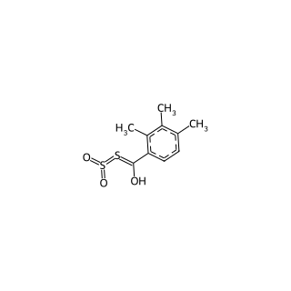 Cc1ccc(C(O)=S=S(=O)=O)c(C)c1C